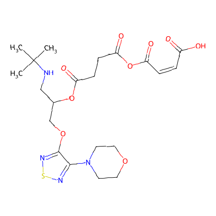 CC(C)(C)NCC(COc1nsnc1N1CCOCC1)OC(=O)CCC(=O)OC(=O)/C=C\C(=O)O